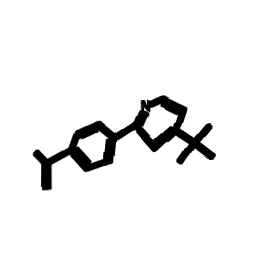 C=C(C)c1ccc(-c2cc(C(C)(C)C)ccn2)cc1